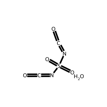 O.O=C=NS(=O)(=O)N=C=O